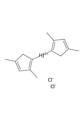 CC1=CC(C)=[C]([Hf+2][C]2=C(C)C=C(C)C2)C1.[Cl-].[Cl-]